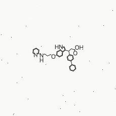 O=C(O)CC(c1ccc(-c2ccccc2)cc1)c1c[nH]c2cc(OCCCNc3ccccn3)ccc12